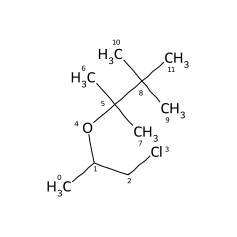 CC(CCl)OC(C)(C)C(C)(C)C